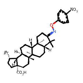 CC(C)[C@H]1CC[C@]2(C(=O)O)CC[C@]3(C)[C@H](CC[C@@H]4[C@@]5(C)CC/C(=N\Oc6ccc([N+](=O)[O-])cc6)C(C)(C)[C@@H]5CC[C@]43C)[C@@H]12